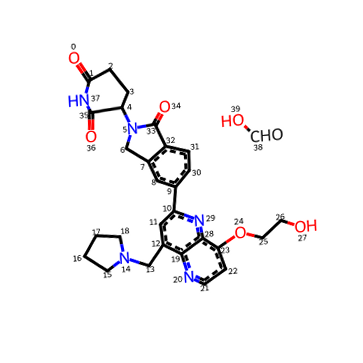 O=C1CCC(N2Cc3cc(-c4cc(CN5CCCC5)c5nccc(OCCO)c5n4)ccc3C2=O)C(=O)N1.O=CO